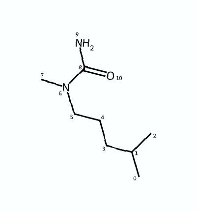 CC(C)CCCN(C)C(N)=O